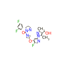 Cc1nn(-c2cc(OC3CN(C(=O)N4N=CC[C@H]4c4cc(F)cc(F)c4)C3)c(F)cn2)c(C)c1CO